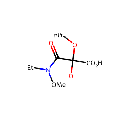 CCCOC([O])(C(=O)O)C(=O)N(CC)OC